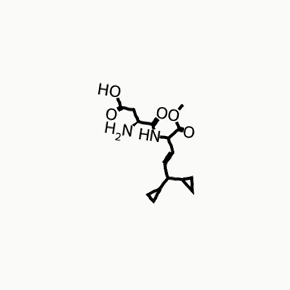 COC(=O)C(C=CC(C1CC1)C1CC1)NC(=O)[C@@H](N)CC(=O)O